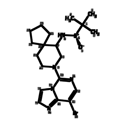 CC(C)(C)[S@@+]([O-])NC1CN(c2ncc(Br)c3nccn23)CCC12CCCC2